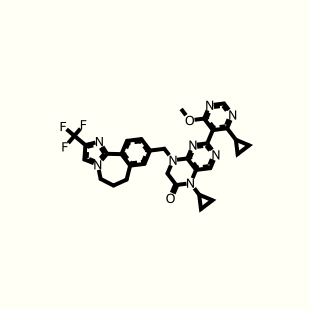 COc1ncnc(C2CC2)c1-c1ncc2c(n1)N(Cc1ccc3c(c1)CCCn1cc(C(F)(F)F)nc1-3)CC(=O)N2C1CC1